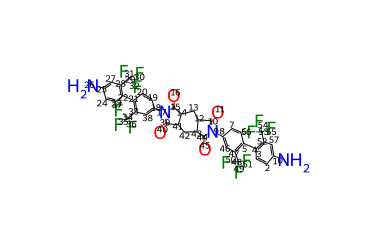 Nc1ccc(-c2ccc(N3C(=O)C4CC5C(=O)N(c6ccc(-c7ccc(N)cc7C(F)(F)F)c(C(F)(F)F)c6)C(=O)C5CC4C3=O)cc2C(F)(F)F)c(C(F)(F)F)c1